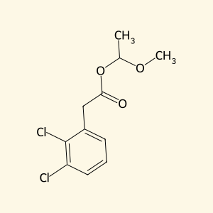 COC(C)OC(=O)Cc1cccc(Cl)c1Cl